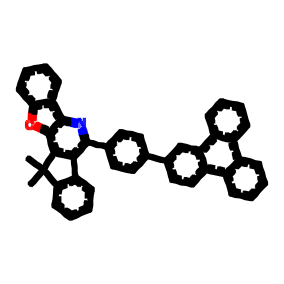 CC1(C)c2ccccc2-c2c(-c3ccc(-c4ccc5c6ccccc6c6ccccc6c5c4)cc3)nc3c(oc4ccccc43)c21